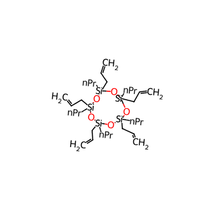 C=CC[Si]1(CCC)O[Si](CC=C)(CCC)O[Si](CC=C)(CCC)O[Si](CC=C)(CCC)O[Si](CC=C)(CCC)O1